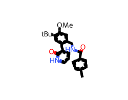 COc1cc(CNC(=O)c2ccc(C)cc2)c(-c2ccc[nH]c2=O)cc1C(C)(C)C